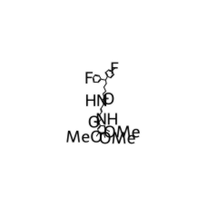 COc1cc(C(=O)NC/C=C/CNC(=O)CCCCC(c2ccc(F)cc2)c2ccc(F)cc2)cc(OC)c1OC